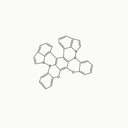 c1ccc2c(c1)Oc1c3c4c(c5c1B2n1ccc2cccc-5c21)-c1cccc2ccn(c12)B4c1ccccc1O3